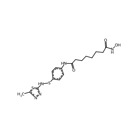 Cc1nnc(NSc2ccc(NC(=O)CCCCCCC(=O)NO)cc2)s1